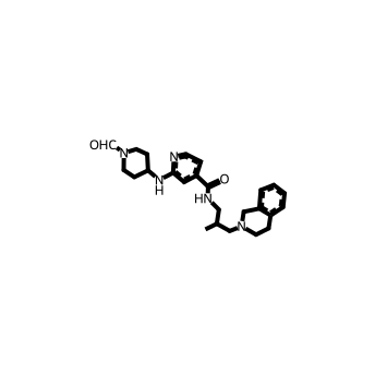 CC(CNC(=O)c1ccnc(NC2CCN(C=O)CC2)c1)CN1CCc2ccccc2C1